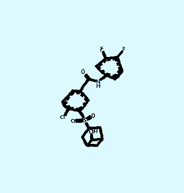 O=C(Nc1ccc(F)c(F)c1)c1ccc(Cl)c(S(=O)(=O)C2CC3CC(C2)C3O)c1